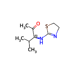 CC(=O)[C@@H](NC1=NCCS1)C(C)C